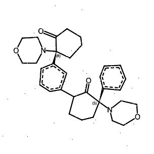 O=C1CCCC[C@]1(c1cccc(C2CCC[C@@](c3ccccc3)(N3CCOCC3)C2=O)c1)N1CCOCC1